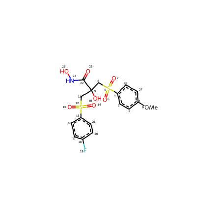 COc1ccc(S(=O)(=O)CC(O)(CS(=O)(=O)c2ccc(F)cc2)C(=O)NO)cc1